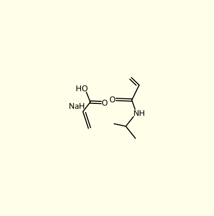 C=CC(=O)NC(C)C.C=CC(=O)O.[NaH]